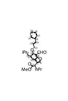 CCCC(C(=O)OC)c1coc2c(C=O)c(OC/C=C/c3ccccc3)c(CC(C)C)cc12